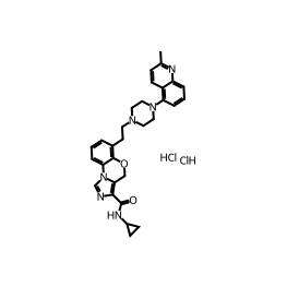 Cc1ccc2c(N3CCN(CCc4cccc5c4OCc4c(C(=O)NC6CC6)ncn4-5)CC3)cccc2n1.Cl.Cl